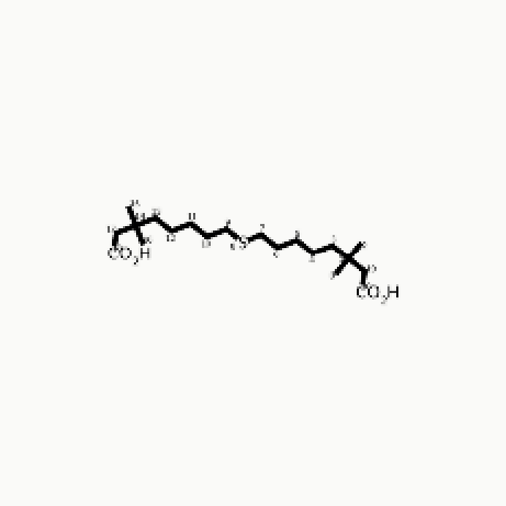 CC(C)(CCCCCSCCCCCC(C)(C)CC(=O)O)CC(=O)O